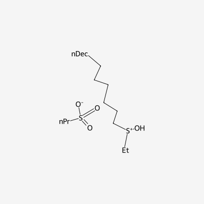 CCCCCCCCCCCCCCCC[S+](O)CC.CCCS(=O)(=O)[O-]